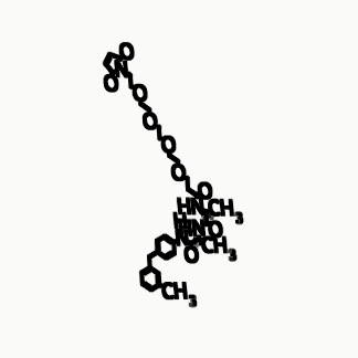 Cc1cccc(Cc2ccc(NC(=O)[C@H](C)NC(=O)[C@H](C)NC(=O)CCOCCOCCOCCOCCN3C(=O)C=CC3=O)cc2)c1